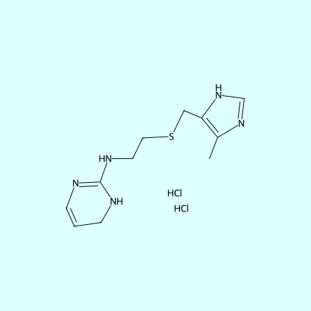 Cc1nc[nH]c1CSCCNC1=NC=CCN1.Cl.Cl